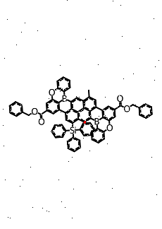 Cc1cc2c3c(cc4c([Si](c5ccccc5)(c5ccccc5)c5ccccc5)cc5c6c(cc1c3c46)B1c3ccccc3Oc3cc(C(=O)OCc4ccccc4)cc-5c31)B1c3ccccc3Oc3cc(C(=O)OCc4ccccc4)cc-2c31